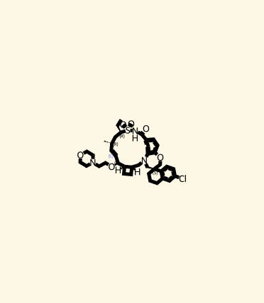 CC[C@@H]1C[C@@H](C)/C=C/[C@H](OCCN2CCOCC2)[C@@H]2CC[C@H]2CN2C[C@@]3(CCCc4cc(Cl)ccc43)COc3ccc(cc32)C(=O)NS1(=O)=O